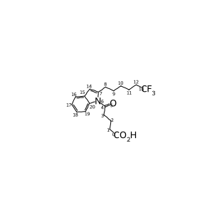 O=C(O)CCCC(=O)n1c(CCCCCC(F)(F)F)cc2ccccc21